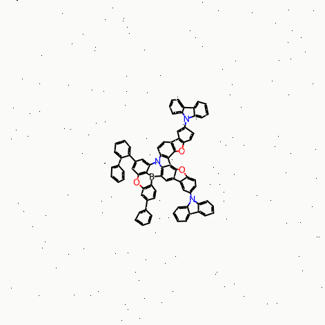 c1ccc(-c2ccc3c(c2)Oc2cc(-c4ccccc4-c4ccccc4)cc4c2B3c2cc3c5cc(-n6c7ccccc7c7ccccc76)ccc5oc3c3c5c6oc7ccc(-n8c9ccccc9c9ccccc98)cc7c6ccc5n-4c23)cc1